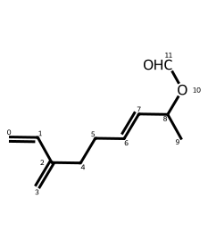 C=CC(=C)CCC=CC(C)OC=O